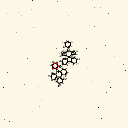 Fc1ccc2c(c1)sc1ccc(N(c3ccccc3)c3ccc4c(c3)-c3ccccc3C43c4ccccc4N(c4ccccc4)c4ccccc43)c(N(C3=CCCC=C3)c3ccccc3)c12